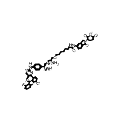 N=N/C(=C\NCC(N)COCCCCCCCC(=O)Nc1ccc2c(c1)CN(C1CCC(=O)NC1=O)C2=O)c1ccc(Nc2ncc3c(n2)-c2ccc(Cl)cc2C(c2c(F)cccc2F)=NC3)cc1